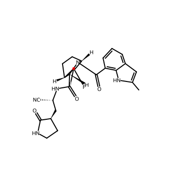 Cc1cc2cccc(C(=O)N3[C@H]4CC[C@@H]([C@H]3C(=O)N[C@@H](C#N)C[C@H]3CCNC3=O)C(F)(F)C4)c2[nH]1